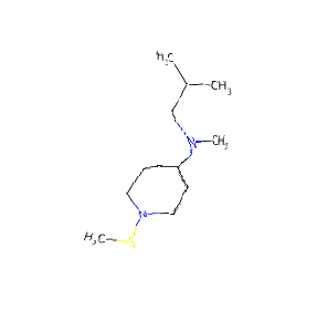 CSN1CCC(N(C)CC(C)C)CC1